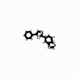 c1ccc(-c2cnc(-c3ccc4scnc4c3)o2)cc1